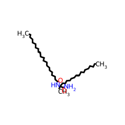 CCCCCCCCC=CCCCCCCCCCCCC(=O)NC(CC)(CCCCCCC=CCCCCCCCC)C(N)=O